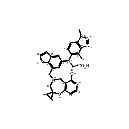 Cc1c([C@@H](CC(=O)O)c2cc(CN3Cc4c(ccnc4O)OC4(CC4)C3)c3sccc3c2)ccc2c1nnn2C